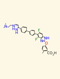 Cc1ccc(Oc2nc3c(F)c(-c4ccc(-c5ccc(C(=N)/C=C\NCCN(C)C)cc5)cc4)c(F)cc3[nH]2)cc1C(=O)O